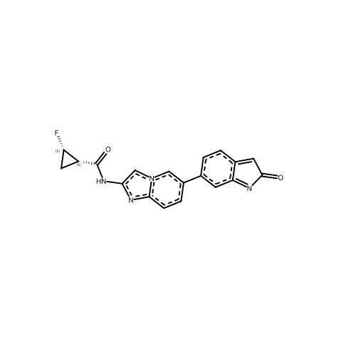 O=C1C=c2ccc(-c3ccc4nc(NC(=O)[C@@H]5C[C@@H]5F)cn4c3)cc2=N1